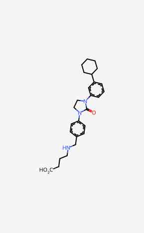 O=C(O)CCCNCc1ccc(N2CCN(c3cccc(C4CCCCC4)c3)C2=O)cc1